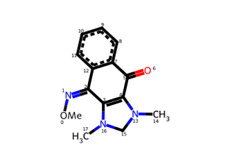 CO/N=C1\C2=C(C(=O)c3ccccc31)N(C)CN2C